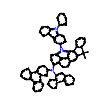 CC1(C)c2ccccc2-c2c1cc1ccc3c(N(c4ccc5c6ccccc6c6ccccc6c5c4)c4cc5ccccc5c5ccccc45)ccc4c3c1c2n4-c1ccc2c(c1)c1ccccc1n2-c1ccccc1